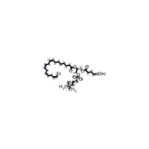 CC/C=C\C/C=C\C/C=C\C/C=C\CCCCCCC(=O)O[C@H](COC(=O)CCCCCCCCCCCCC)COP(=O)([O-])OCC[N+](C)(C)C